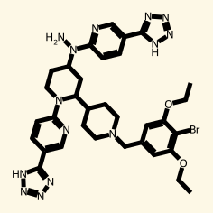 CCOc1cc(CN2CCC(C3CC(N(N)c4ccc(-c5nnn[nH]5)cn4)CCN3c3ccc(-c4nnn[nH]4)cn3)CC2)cc(OCC)c1Br